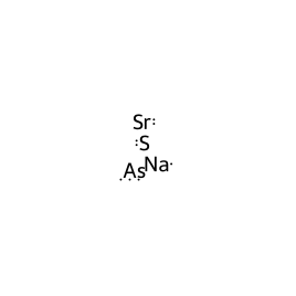 [As].[Na].[S].[Sr]